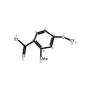 CCC(=O)c1ccc(OC(F)(F)F)cc1SC